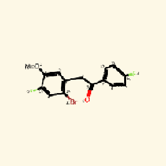 COc1cc(CC(=O)c2ccc(F)cc2)c(Br)cc1F